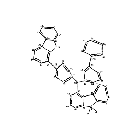 CC1(C)c2ccccc2-c2c(N(c3ccc(-c4cccc5c4sc4ccccc45)cc3)c3cccc(-c4ccccc4)c3)cccc21